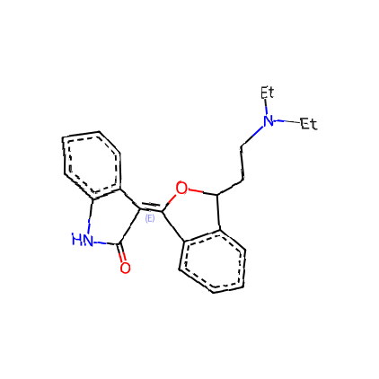 CCN(CC)CCC1O/C(=C2/C(=O)Nc3ccccc32)c2ccccc21